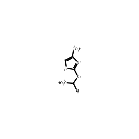 CCC(Sc1nc(C(=O)O)cs1)C(=O)O